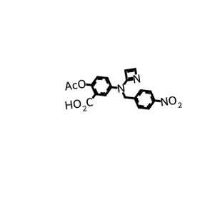 CC(=O)Oc1ccc(N(Cc2ccc([N+](=O)[O-])cc2)C2=NC=C2)cc1C(=O)O